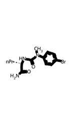 CCC[C@H](NC(=O)N(C)c1ccc(Br)cc1)C(N)=O